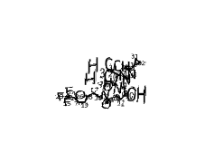 CC(C)(C)[C@H](C(=O)N1C[C@H](O)C[C@H]1C(=O)NCCC1CCC(C(F)(F)F)O1)n1cc(C2CC2)nn1